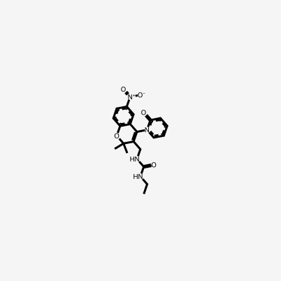 CCNC(=O)NCC1=C(n2ccccc2=O)c2cc([N+](=O)[O-])ccc2OC1(C)C